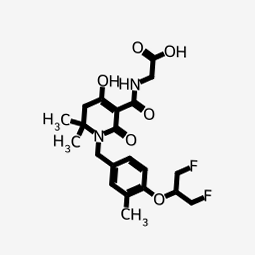 Cc1cc(CN2C(=O)C(C(=O)NCC(=O)O)=C(O)CC2(C)C)ccc1OC(CF)CF